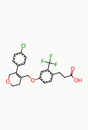 O=C(O)CCc1ccc(OCC2=C(c3ccc(Cl)cc3)COCC2)cc1C(F)(F)F